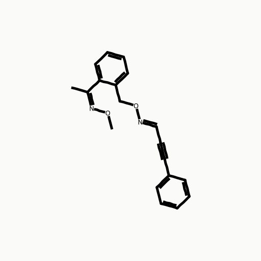 CO/N=C(/C)c1ccccc1CO/N=C/C#Cc1ccccc1